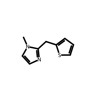 Cn1ccnc1Cc1cccs1